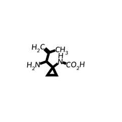 C=C(C)C(N)C1(NC(=O)O)CC1